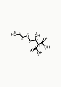 O=C(O)C(C(=O)O)C(O)COCCO